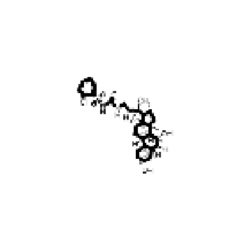 CC[C@H]1[C@@H](O)[C@@H]2[C@H](CC[C@]3(C)C([C@H](C)CCNC(=O)NS(=O)(=O)c4ccccc4Cl)CC[C@@H]23)[C@@]2(C)CC[C@@H](O)C[C@@H]12